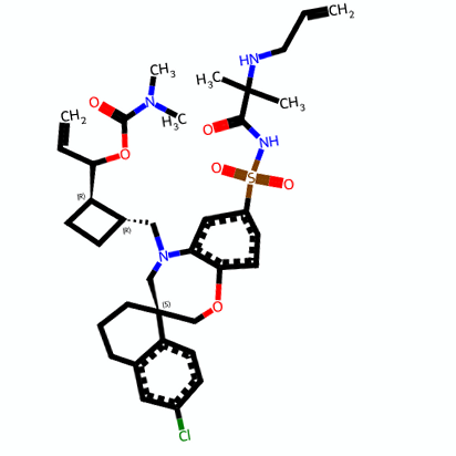 C=CCNC(C)(C)C(=O)NS(=O)(=O)c1ccc2c(c1)N(C[C@@H]1CC[C@H]1C(C=C)OC(=O)N(C)C)C[C@@]1(CCCc3cc(Cl)ccc31)CO2